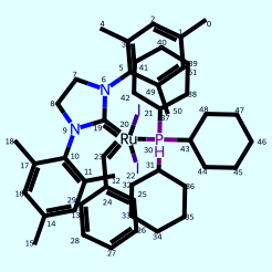 Cc1cc(C)c(N2CCN(c3c(C)cc(C)cc3C)[C]2=[Ru]([I])([I])(=[CH]c2ccccc2)[PH](C2CCCCC2)(C2CCCCC2)C2CCCCC2)c(C)c1